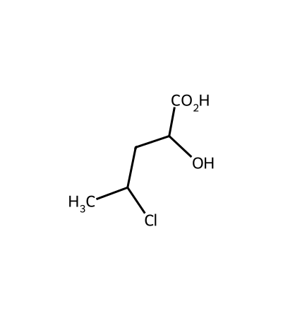 CC(Cl)CC(O)C(=O)O